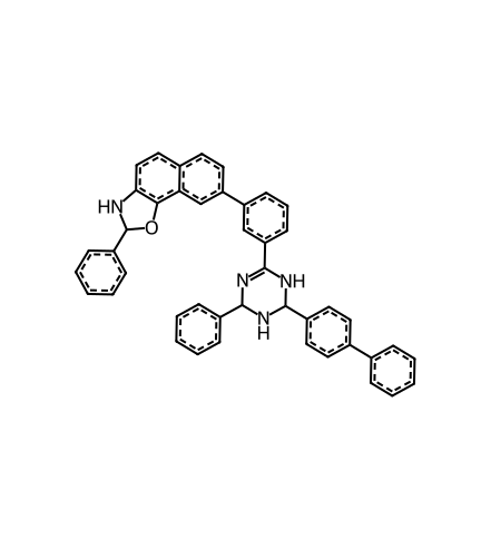 c1ccc(-c2ccc(C3NC(c4cccc(-c5ccc6ccc7c(c6c5)OC(c5ccccc5)N7)c4)=NC(c4ccccc4)N3)cc2)cc1